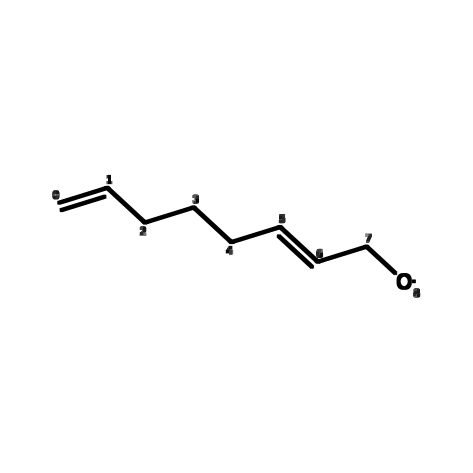 C=CCCCC=CC[O]